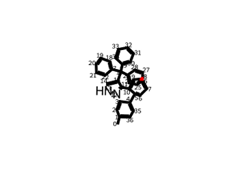 Cc1ccc(-c2ccccc2-c2n[nH]cc2C(c2ccccc2)(c2ccccc2)c2ccccc2)cc1